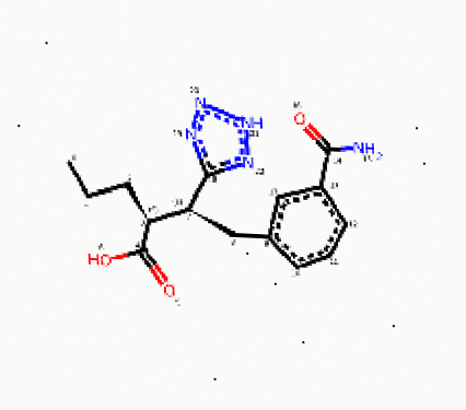 CCC[C@H](C(=O)O)[C@H](Cc1cccc(C(N)=O)c1)c1nn[nH]n1